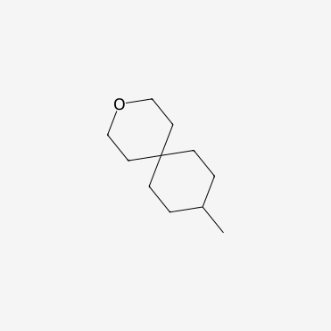 CC1CCC2(CCOCC2)CC1